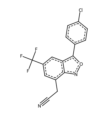 N#CCc1cc(C(F)(F)F)cc2c(-c3ccc(Cl)cc3)onc12